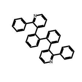 c1ccc(-c2ncccc2-c2ccccc2-c2ccccc2-c2cccnc2-c2ccccc2)cc1